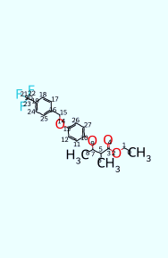 CCOC(=O)C(C)C(C)Oc1ccc(OCc2ccc(C(F)(F)F)cc2)cc1